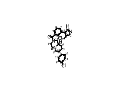 Cc1cn[nH]c1-c1cccc(C(=O)N2CCN3C[C@@H](c4ccc(Cl)cc4)CC[C@@H]3C2)c1Cl